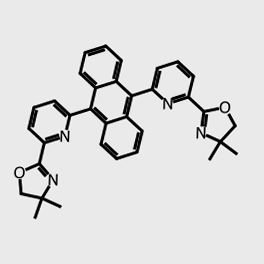 CC1(C)COC(c2cccc(-c3c4ccccc4c(-c4cccc(C5=NC(C)(C)CO5)n4)c4ccccc34)n2)=N1